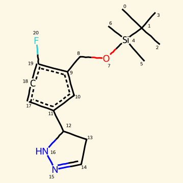 CC(C)(C)[Si](C)(C)OCc1cc(C2CC=NN2)ccc1F